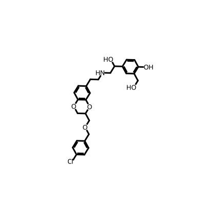 OCc1cc(C(O)CNCCc2ccc3c(c2)OC(COCc2ccc(Cl)cc2)CO3)ccc1O